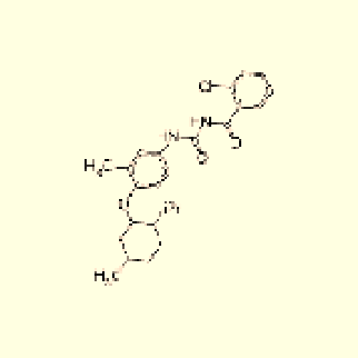 Cc1cc(NC(=O)NC(=O)c2ccccc2Cl)ccc1OC1CC(C)CCC1C(C)C